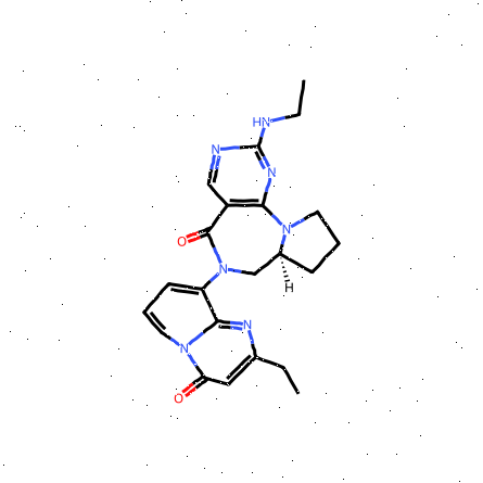 CCNc1ncc2c(n1)N1CCC[C@H]1CN(c1cccn3c(=O)cc(CC)nc13)C2=O